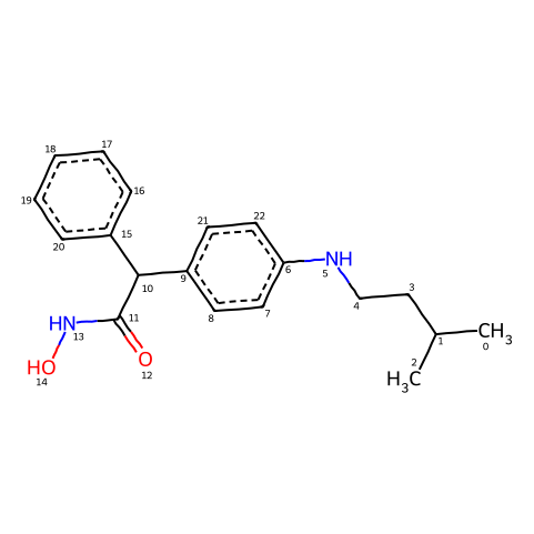 CC(C)CCNc1ccc(C(C(=O)NO)c2ccccc2)cc1